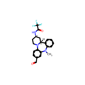 CN1c2ccccc2[C@H]2C[C@H](NC(=O)C(F)(F)F)CCN2c2ccc(C=O)cc21